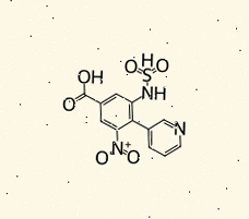 O=C(O)c1cc(N[SH](=O)=O)c(-c2cccnc2)c([N+](=O)[O-])c1